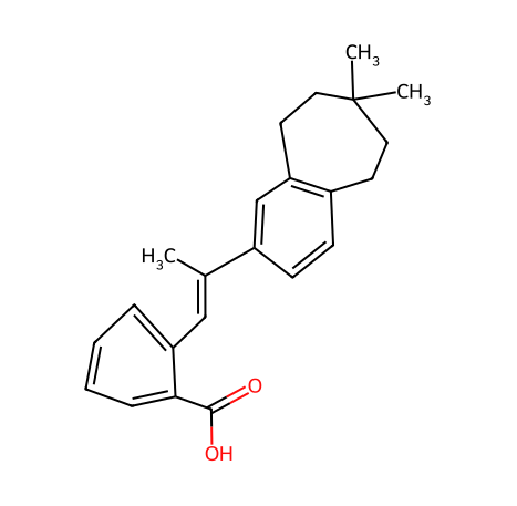 CC(=Cc1ccccc1C(=O)O)c1ccc2c(c1)CCC(C)(C)CC2